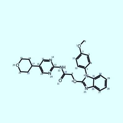 COc1ccc(-n2c(OCC(=O)Nc3ncc(C4CCOCC4)cn3)nc3ccccc32)cc1